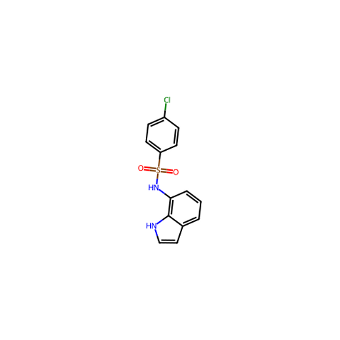 O=S(=O)(Nc1cccc2cc[nH]c12)c1ccc(Cl)cc1